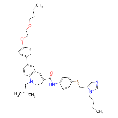 CCCCOCCOc1ccc(-c2ccc3c(c2)C=C(C(=O)Nc2ccc(SCc4cncn4CCCC)cc2)CCN3CC(C)C)cc1